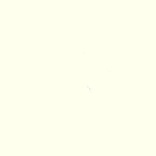 CCC(COC=O)N1CCCc2cc(C(F)(F)F)ccc21